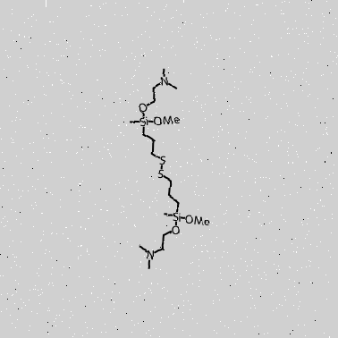 CO[Si](C)(CCCSSCCC[Si](C)(OC)OCCN(C)C)OCCN(C)C